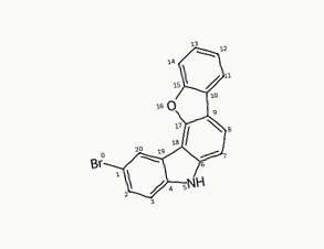 Brc1ccc2[nH]c3ccc4c5ccccc5oc4c3c2c1